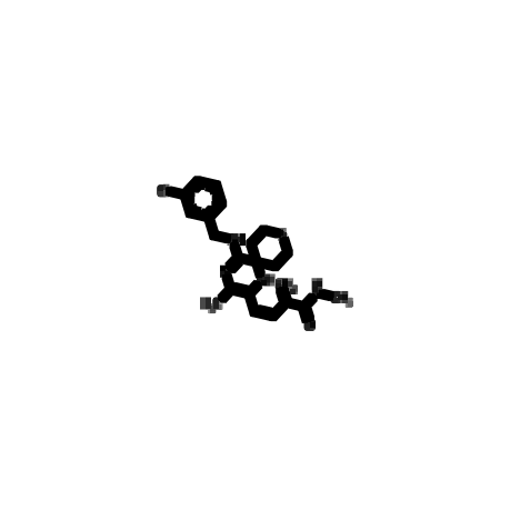 C=C(/C=C\C1=C(C)N=C(NCc2cccc(Cl)c2)C2(CCSCC2)N1)C(=O)NC